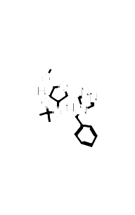 CO[C@@H]1O[C@H](c2nncn2Cc2ccccc2)[C@H]2OC(C)(C)O[C@@H]12